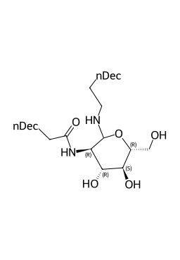 CCCCCCCCCCCCNC1O[C@H](CO)[C@@H](O)[C@H](O)[C@H]1NC(=O)CCCCCCCCCCC